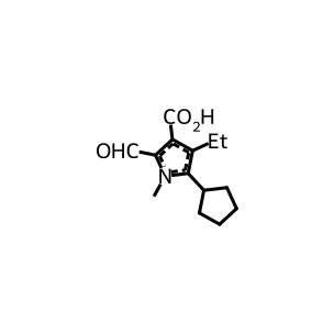 CCc1c(C(=O)O)c(C=O)n(C)c1C1CCCC1